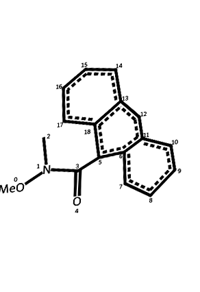 CON(C)C(=O)c1c2ccccc2cc2ccccc12